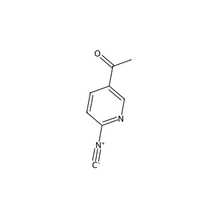 [C-]#[N+]c1ccc(C(C)=O)cn1